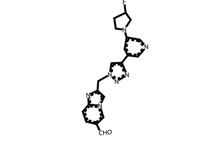 O=Cc1ccc2nc(Cn3cc(-c4cncc(N5CCC(F)C5)c4)nn3)cn2c1